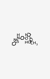 C[C@@]1(O)CC[C@H](c2cccnc2Oc2ccc(Nc3nc4ccccc4s3)cc2)C1